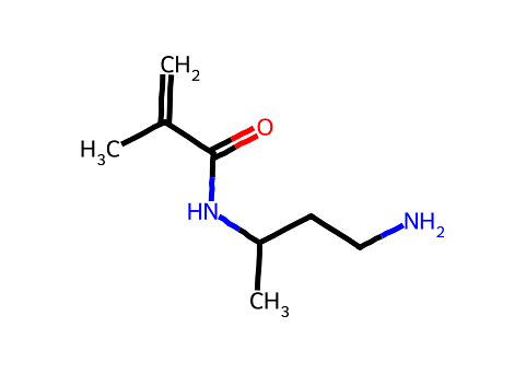 C=C(C)C(=O)NC(C)CCN